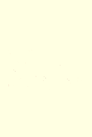 CC1(NC(=O)OC(C)(C)C)CC(N2CCN(C(=O)O)CC2)C1